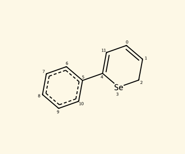 C1=CC[Se]C(c2ccccc2)=C1